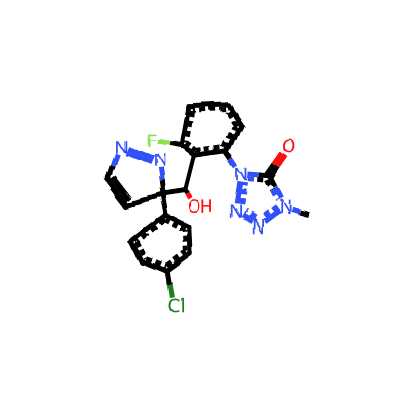 Cn1nnn(-c2cccc(F)c2C(O)C2(c3ccc(Cl)cc3)C=CN=N2)c1=O